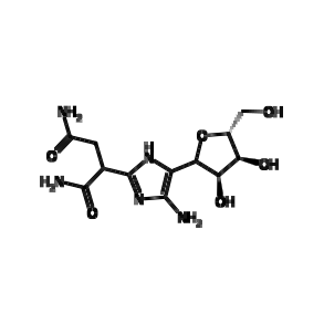 NC(=O)CC(C(N)=O)c1nc(N)c(C2O[C@H](CO)[C@@H](O)[C@H]2O)[nH]1